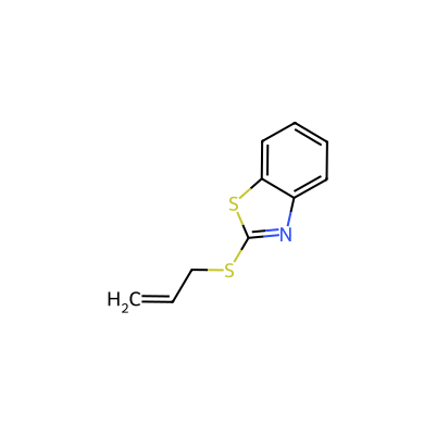 C=CCSc1nc2ccccc2s1